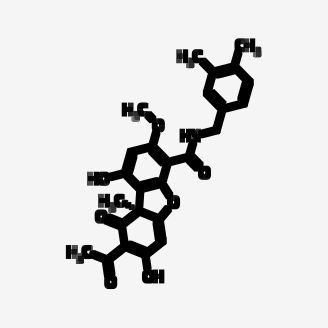 COc1cc(O)c2c(c1C(=O)NCc1ccc(C)c(C)c1)OC1=CC(O)=C(C(C)=O)C(=O)[C@]12C